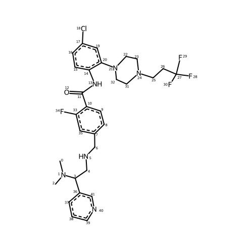 CN(C)C(CNCc1ccc(C(=O)Nc2ccc(Cl)cc2N2CCN(CCC(F)(F)F)CC2)c(F)c1)c1cccnc1